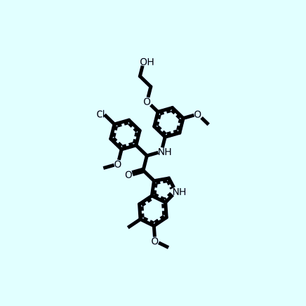 COc1cc(NC(C(=O)c2c[nH]c3cc(OC)c(C)cc23)c2ccc(Cl)cc2OC)cc(OCCO)c1